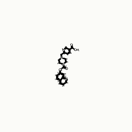 O=C(O)c1ccc(CN2CCN(C(=O)Oc3ccc4cccnc4c3)CC2)nc1